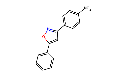 O=[N+]([O-])c1ccc(-c2cc(-c3ccccc3)on2)cc1